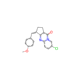 COc1ccc(/C=C2/CCc3c2nc2ccc(Cl)cn2c3=O)cc1